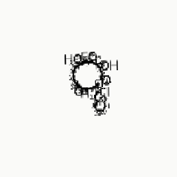 CC[C@H]1C(=O)C(C)(C)[C@@H](O)CC(=O)O[C@H](C(Cl)=Cc2ccccn2)C[C@@H]2O[C@]2(C)CCC[C@H](C)[C@@H]1O